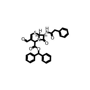 O=CC1=CS[C@@H]2[C@H](NC(=O)Cc3ccccc3)C(=O)N2C1C(=O)OC(c1ccccc1)c1ccccc1